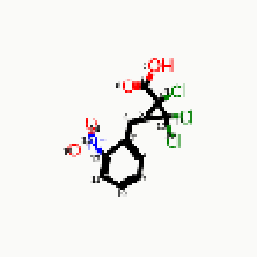 O=C(O)C1(Cl)C(Cc2ccccc2[N+](=O)[O-])C1(Cl)Cl